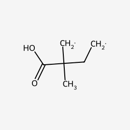 [CH2]CC([CH2])(C)C(=O)O